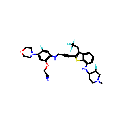 CN1CCC(Nc2cccc3c(CC(F)(F)F)c(C#CCNc4cc(F)c(N5CCOCC5)cc4OCC#N)sc23)C(F)C1